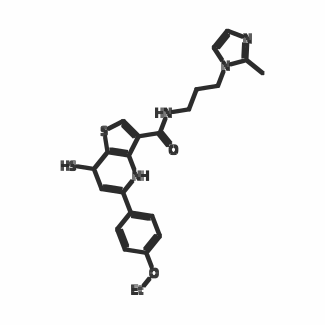 CCOc1ccc(C2=CC(S)c3scc(C(=O)NCCCn4ccnc4C)c3N2)cc1